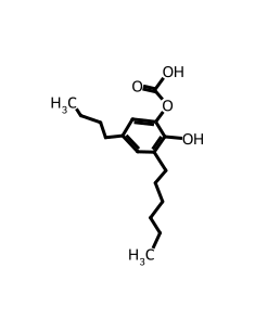 CCCCCCc1cc(CCCC)cc(OC(=O)O)c1O